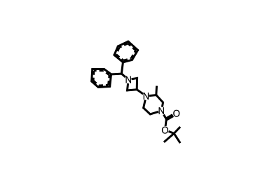 CC1CN(C(=O)OC(C)(C)C)CCN1C1CN(C(c2ccccc2)c2ccccc2)C1